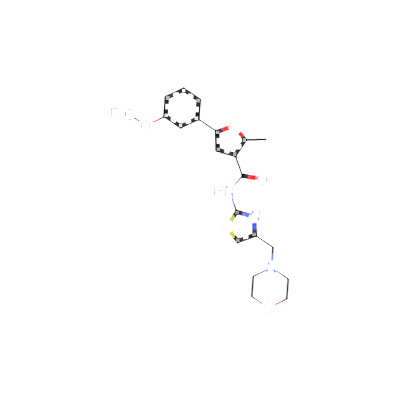 Cc1oc(-c2cccc(OC(F)(F)F)c2)cc1C(=O)Nc1nc(CN2CCOCC2)cs1